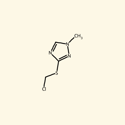 Cn1cnc(SCCl)n1